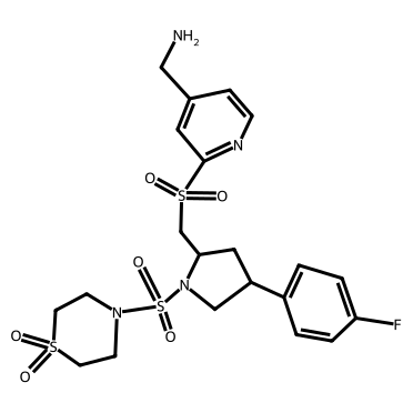 NCc1ccnc(S(=O)(=O)CC2CC(c3ccc(F)cc3)CN2S(=O)(=O)N2CCS(=O)(=O)CC2)c1